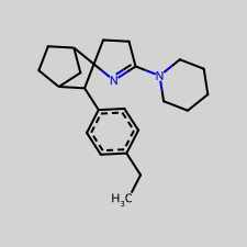 CCc1ccc(C2C3CCC(C3)C23CCC(N2CCCCC2)=N3)cc1